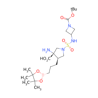 CC(C)(C)OC(=O)N1CC(NS(=O)(=O)N2C[C@@H](CCCB3OC(C)(C)C(C)(C)O3)[C@@](N)(C(=O)O)C2)C1